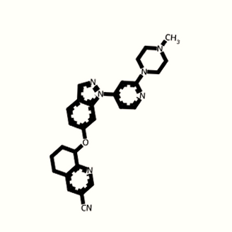 CN1CCN(c2cc(-n3ncc4ccc(OC5CCCc6cc(C#N)cnc65)cc43)ccn2)CC1